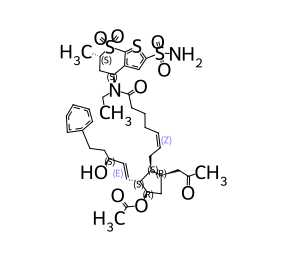 CCN(C(=O)CCC/C=C\C[C@H]1[C@@H](CC(C)=O)C[C@@H](OC(C)=O)[C@@H]1/C=C/[C@@H](O)CCc1ccccc1)[C@H]1C[C@H](C)S(=O)(=O)c2sc(S(N)(=O)=O)cc21